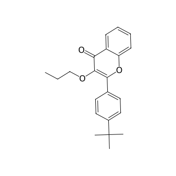 CCCOc1c(-c2ccc(C(C)(C)C)cc2)oc2ccccc2c1=O